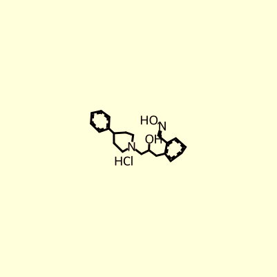 Cl.ON=Cc1ccccc1CC(O)CN1CCC(c2ccccc2)CC1